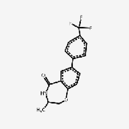 CC1COc2ccc(-c3ccc(C(F)(F)F)cc3)cc2C(=O)N1